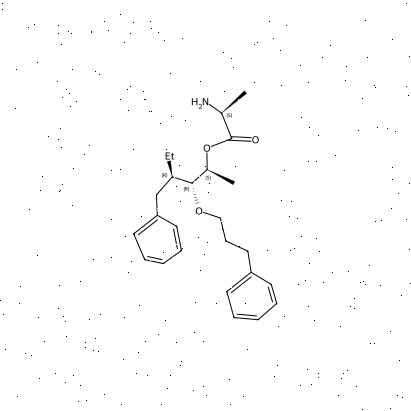 CC[C@H](Cc1ccccc1)[C@@H](OCCCc1ccccc1)[C@H](C)OC(=O)[C@H](C)N